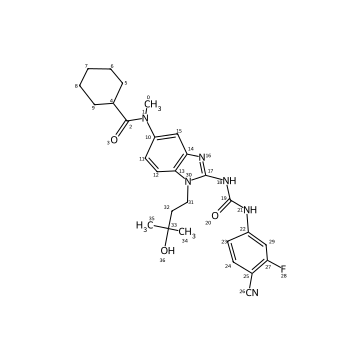 CN(C(=O)C1CCCCC1)c1ccc2c(c1)nc(NC(=O)Nc1ccc(C#N)c(F)c1)n2CCC(C)(C)O